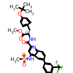 COC(=O)[C@H](Cc1ccc(OC(C)(C)C)cc1)NC(=O)c1cc(NS(C)(=O)=O)c2cc(-c3cccc(C(F)(F)F)c3)ccc2n1